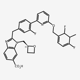 CC1C(F)=CC=C(COc2cccc(-c3ccc(Cc4nc5ccc(C(=O)O)cc5n4C[C@@H]4CCO4)cc3F)n2)C1F